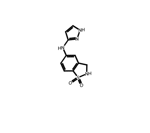 O=S1(=O)NCc2cc(Nc3cc[nH]n3)ccc21